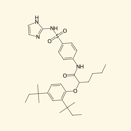 CCCCC(Oc1ccc(C(C)(C)CC)cc1C(C)(C)CC)C(=O)Nc1ccc(S(=O)(=O)Nc2ncc[nH]2)cc1